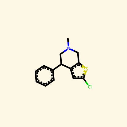 CN1Cc2sc(Cl)cc2C(c2ccccc2)C1